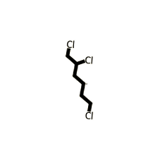 ClCC[CH]CC(Cl)CCl